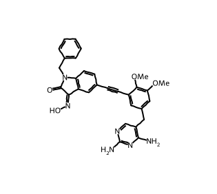 COc1cc(Cc2cnc(N)nc2N)cc(C#Cc2ccc3c(c2)C(=NO)C(=O)N3Cc2ccccc2)c1OC